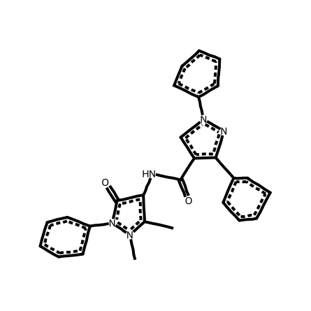 Cc1c(NC(=O)c2cn(-c3ccccc3)nc2-c2ccccc2)c(=O)n(-c2ccccc2)n1C